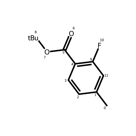 Cc1ccc(C(=O)OC(C)(C)C)c(F)c1